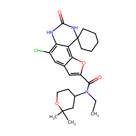 CCN(C(=O)c1cc2cc(Cl)c3c(c2o1)C1(CCCCC1)NC(=O)N3)C1CCOC(C)(C)C1